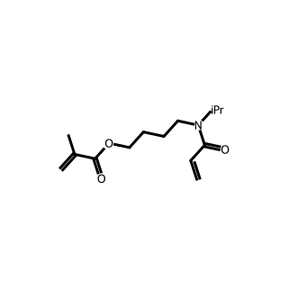 C=CC(=O)N(CCCCOC(=O)C(=C)C)C(C)C